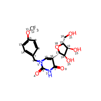 O=c1[nH]c(=O)n(Cc2ccc(OC(F)(F)F)cc2)cc1[C@@H]1O[C@H](CO)[C@@H](O)[C@H]1O